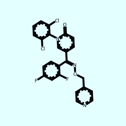 O=c1ccc(C(=NOCc2ccncc2)c2ccc(F)cc2F)cn1-c1c(Cl)cccc1Cl